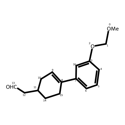 COCOc1cccc(C2=CCC(CC=O)CC2)c1